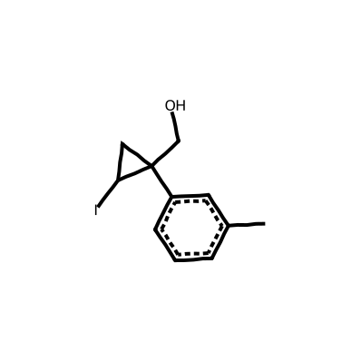 Cc1cccc(C2(CO)CC2I)c1